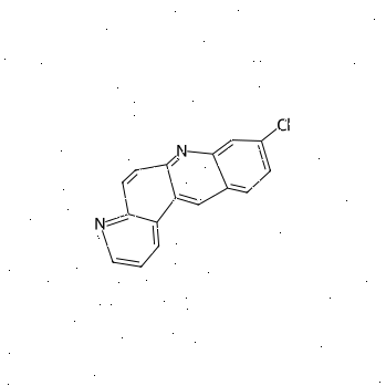 Clc1ccc2cc3c(ccc4ncccc43)nc2c1